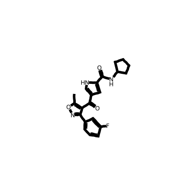 Cc1onc(-c2cccc(F)c2)c1C(=O)c1c[nH]c(C(=O)NC2CCCC2)c1